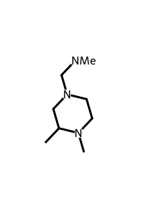 CNCN1CCN(C)C(C)C1